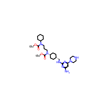 CC(C)(C)OC(=O)N(CCCN(C(=O)OC(C)(C)C)[C@H]1CC[C@@H](CNc2nc(N)cc(N3CCNCC3)n2)CC1)C1CCCCC1